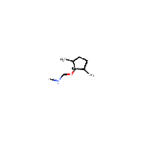 CCNCO[SiH]1C(C)CCC1C